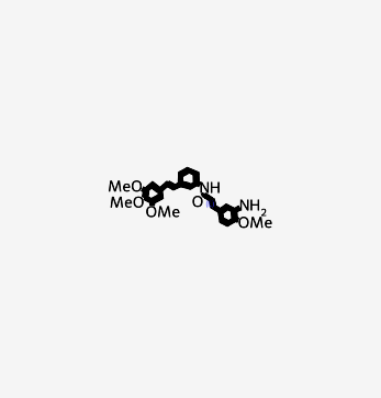 COc1ccc(/C=C/C(=O)Nc2cccc(C=Cc3cc(OC)c(OC)c(OC)c3)c2)cc1N